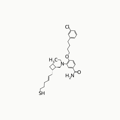 CCN(C[C@@H]1CC[C@H]1C/C=C/CCCS)c1cc(C(N)=O)ccc1OCCCCc1cccc(Cl)c1